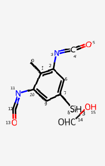 Cc1c(N=C=O)cc([SiH3])cc1N=C=O.O=CO